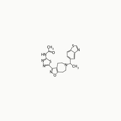 CC(=O)Nc1nnc(-c2noc3c2CCN(C(C)c2ccc4scnc4c2)CC3)s1